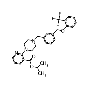 CC(C)OC(=O)c1cccnc1N1CCN(Cc2cccc(COc3ccccc3C(F)(F)F)c2)CC1